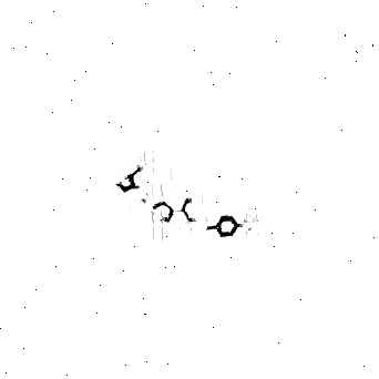 O=C(O)c1sccc1NC(=O)[C@@H]1C[C@@H](C(C(=O)S)C(=O)OCc2ccc([N+](=O)[O-])cc2)CN1